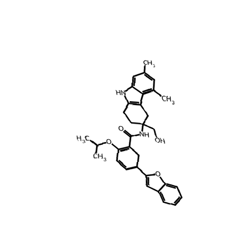 Cc1cc(C)c2c3c([nH]c2c1)CCC(CO)(NC(=O)C1=C(OC(C)C)C=CC(c2cc4ccccc4o2)C1)C3